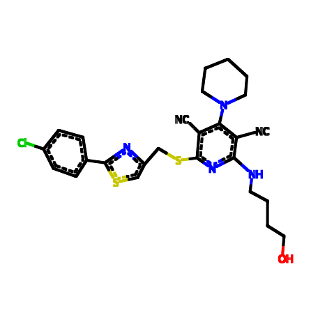 [C-]#[N+]c1c(NCCCCO)nc(SCc2csc(-c3ccc(Cl)cc3)n2)c(C#N)c1N1CCCCC1